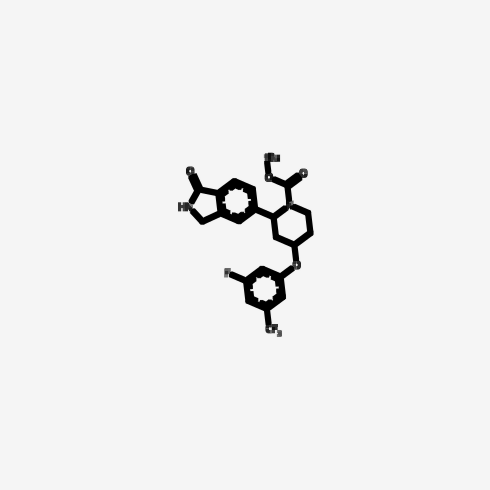 CC(C)(C)OC(=O)N1CCC(Oc2cc(F)cc(C(F)(F)F)c2)CC1c1ccc2c(c1)CNC2=O